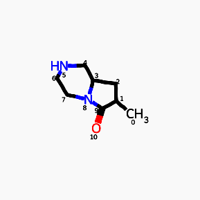 CC1CC2CNCCN2C1=O